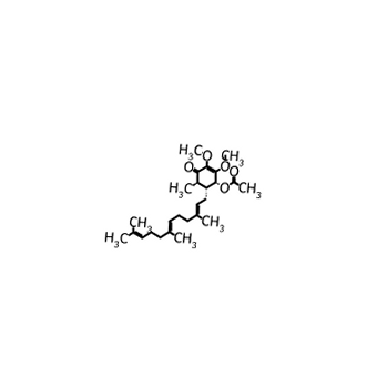 COC1=C(OC)[C@H](OC(C)=O)[C@H](C/C=C(\C)CC/C=C(\C)CCC=C(C)C)[C@@H](C)C1=O